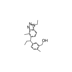 CCC(c1ccc(C)c(CO)c1)c1ccc2c(nnn2CC)c1C